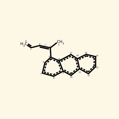 C=C/C=C(/C)c1cccc2cc3ccccc3cc12